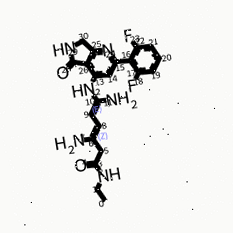 CCNC(=O)C/C(N)=C/C=C(\N)Nc1cc(-c2c(F)cccc2F)nc2c1C(=O)NC2